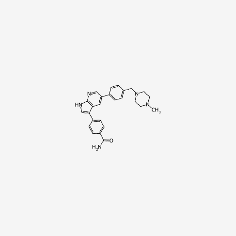 CN1CCN(Cc2ccc(-c3cnc4[nH]cc(-c5ccc(C(N)=O)cc5)c4c3)cc2)CC1